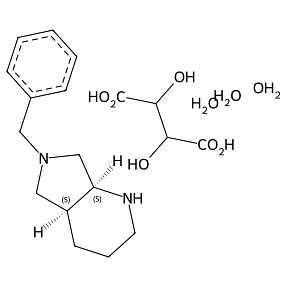 O.O.O.O=C(O)C(O)C(O)C(=O)O.c1ccc(CN2C[C@@H]3CCCN[C@@H]3C2)cc1